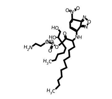 CCCCCCCCCCC(Nc1ccc([N+](=O)[O-])c2nonc12)C(=O)C(CCCCC)(OP(=O)(O)OCCN)[C@@H](O)CO